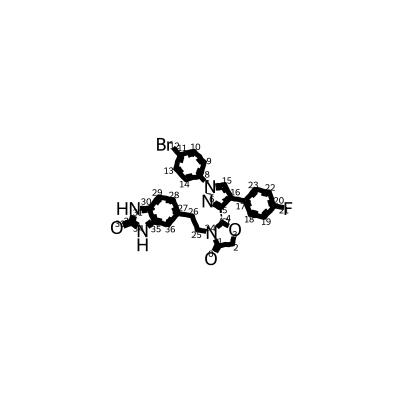 O=C1CO[C@@H](c2nn(-c3ccc(Br)cc3)cc2-c2ccc(F)cc2)N1CCc1ccc2[nH]c(=O)[nH]c2c1